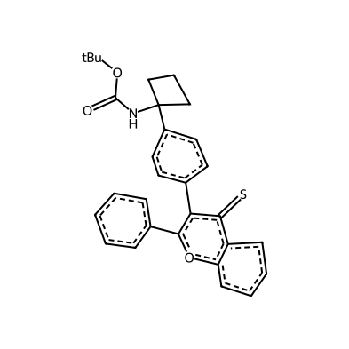 CC(C)(C)OC(=O)NC1(c2ccc(-c3c(-c4ccccc4)oc4ccccc4c3=S)cc2)CCC1